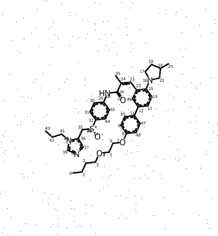 CCCCOCCOc1ccc(-c2ccc(N3CCC(C)C3)c(C=C(C)C(=O)Nc3ccc([S@@+]([O-])Cc4cncn4CCC)cc3)c2)cc1